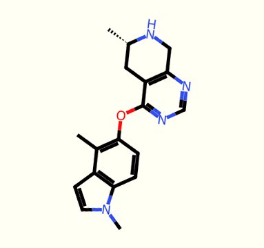 Cc1c(Oc2ncnc3c2C[C@H](C)NC3)ccc2c1ccn2C